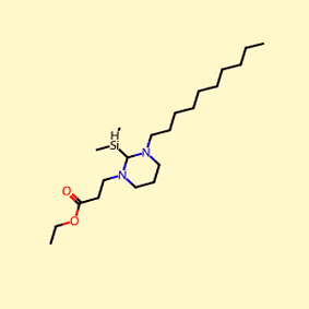 CCCCCCCCCCN1CCCN(CCC(=O)OCC)C1[SiH](C)C